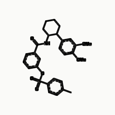 COc1ccc(C2CCCCC2NC(=O)c2cccc(OS(=O)(=O)c3ccc(C)cc3)c2)cc1OC